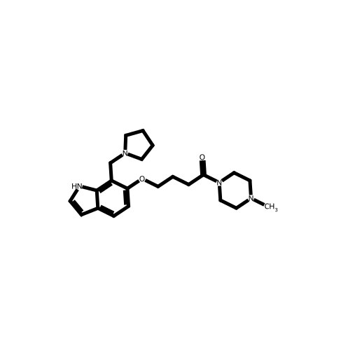 CN1CCN(C(=O)CCCOc2ccc3[c]c[nH]c3c2CN2CCCC2)CC1